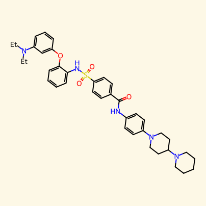 CCN(CC)c1cccc(Oc2ccccc2NS(=O)(=O)c2ccc(C(=O)Nc3ccc(N4CCC(N5CCCCC5)CC4)cc3)cc2)c1